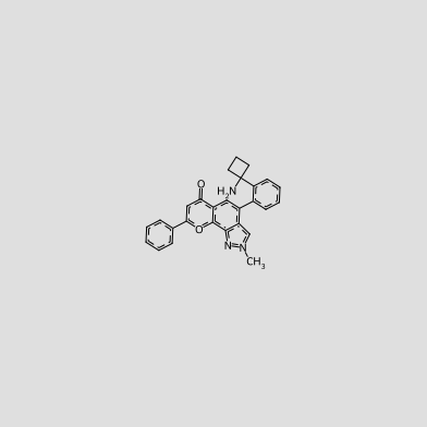 Cn1cc2c(-c3ccccc3C3(N)CCC3)cc3c(=O)cc(-c4ccccc4)oc3c2n1